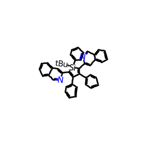 CC(C)(C)[Si]1(c2ccccc2)C(c2cc3ccccc3cn2)=C(c2ccccc2)C(c2ccccc2)=C1c1cc2ccccc2cn1